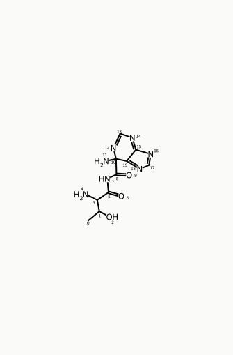 CC(O)C(N)C(=O)NC(=O)C1(N)N=CN=C2N=CN=C21